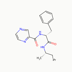 CC(C)C[C@H](C)NC(=O)[C@@H](Cc1ccccc1)NC(=O)c1cnccn1